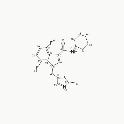 Cn1cc(Cn2cc(C(=O)NC3CCCCC3)c3c(F)ccc(F)c32)cn1